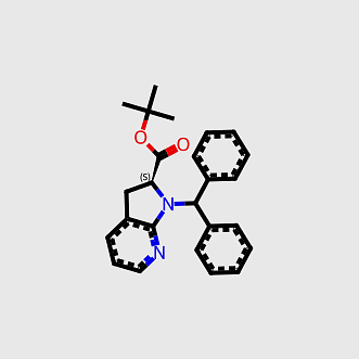 CC(C)(C)OC(=O)[C@@H]1Cc2cccnc2N1C(c1ccccc1)c1ccccc1